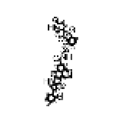 O=C1CCC(N2C(=O)c3cccc(OCCNC(=O)c4ccc5c(N6C(=O)NC7(CC(c8ccccc8Cl)C7)C6=O)cncc5c4)c3C2=O)C(=O)N1